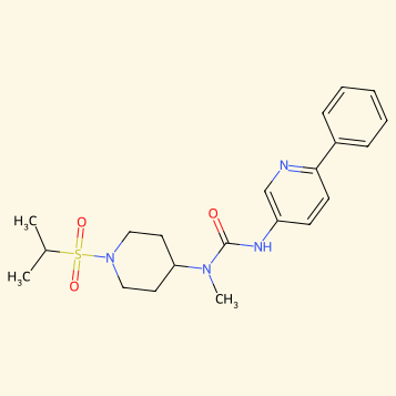 CC(C)S(=O)(=O)N1CCC(N(C)C(=O)Nc2ccc(-c3ccccc3)nc2)CC1